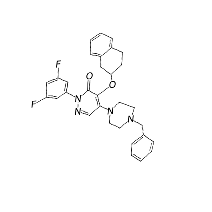 O=c1c(OC2CCc3ccccc3C2)c(N2CCN(Cc3ccccc3)CC2)cnn1-c1cc(F)cc(F)c1